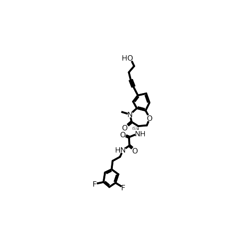 CN1C(=O)[C@@H](NC(=O)C(=O)NCCc2cc(F)cc(F)c2)COc2ccc(C#CCCO)cc21